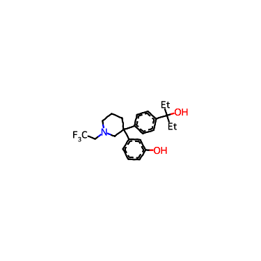 CCC(O)(CC)c1ccc(C2(c3cccc(O)c3)CCCN(CC(F)(F)F)C2)cc1